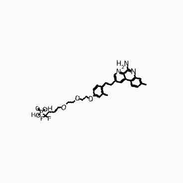 Cc1ccc2c(c1)nc(N)c1ncc(CCc3ccc(OCCOCCOCCCC(F)(F)P(=O)(O)O)cc3C)cc12